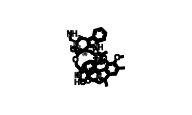 COc1c(C)cc2c(c1O)C1C3[C@@H]4SC[C@]5(N[C@@H](CN)Cc6c5[nH]c5ccccc65)C(=O)OC[C@@H](c5c6c(c(C)c(OC(C)=O)c54)OCO6)N3C3(O)CN1C2(C)C3